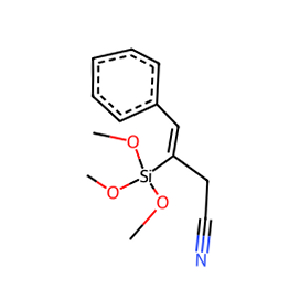 CO[Si](OC)(OC)C(=Cc1ccccc1)CC#N